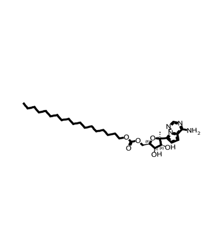 CCCCCCCCCCCCCCCCCCOC(=O)OC[C@H]1O[C@@](C)(c2ccc3c(N)ncnn23)[C@H](O)[C@@H]1O